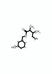 CC(C)CC(C)C(C)C(=O)OCC1CCC[C@@H](O)C1